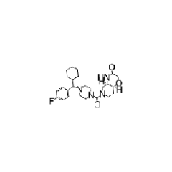 O=C1CO[C@H]2CCN(C(=O)N3CCN(C(c4ccc(F)cc4)C4CCCCC4)CC3)C[C@H]2N1